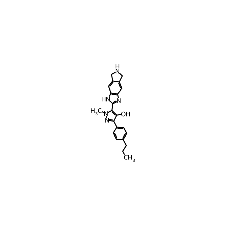 CCCc1ccc(-c2nn(C)c(-c3nc4cc5c(cc4[nH]3)CNC5)c2O)cc1